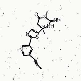 CC#Cc1cncc(-c2ncc([C@]3(C)CC(=O)N(C)C(=N)N3)s2)c1